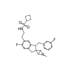 CN1C2C1C21Cc2cc(F)c(CCNS(=O)(=O)C3CCC3)cc2C1Cc1cccc(F)c1